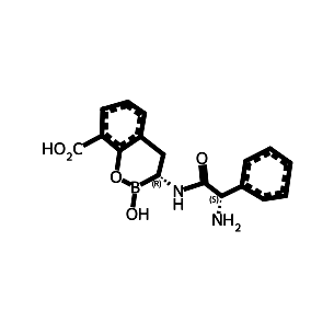 N[C@H](C(=O)N[C@H]1Cc2cccc(C(=O)O)c2OB1O)c1ccccc1